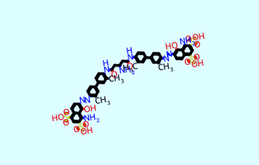 Cc1cc(-c2ccc(NC(=O)CC(N)CC(=O)Nc3ccc(-c4ccc(N=Nc5ccc6c(S(=O)(=O)O)cc(S(=O)(=O)O)c(N)c6c5O)c(C)c4)cc3C)c(C)c2)ccc1N=Nc1ccc2c(S(=O)(=O)O)cc(S(=O)(=O)O)c(N)c2c1O